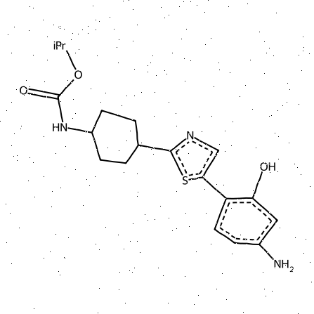 CC(C)OC(=O)NC1CCC(c2ncc(-c3ccc(N)cc3O)s2)CC1